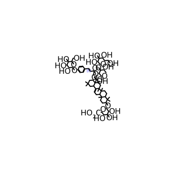 CC1(C)CCC2(C(=O)OC3OCC(O)C(OC4OC(CO)C(O)C(O)C4O)C3OC(=O)/C=C/c3ccc(OC4OC(CO)C(O)C(O)C4O)cc3)C(O)CC3(C)C(=CCC4C5(C)CCC(OC6OC(C(=O)O)C(O)C(O)C6O)C(C)(C)C5CCC43C)C2C1